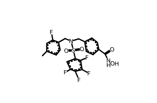 Cc1ccc(CN(Cc2ccc(C(=O)NO)cc2)S(=O)(=O)c2cc(F)c(F)c(F)c2F)c(F)c1